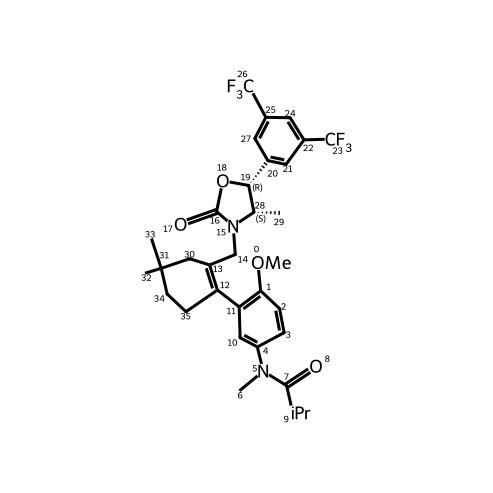 COc1ccc(N(C)C(=O)C(C)C)cc1C1=C(CN2C(=O)O[C@H](c3cc(C(F)(F)F)cc(C(F)(F)F)c3)[C@@H]2C)CC(C)(C)CC1